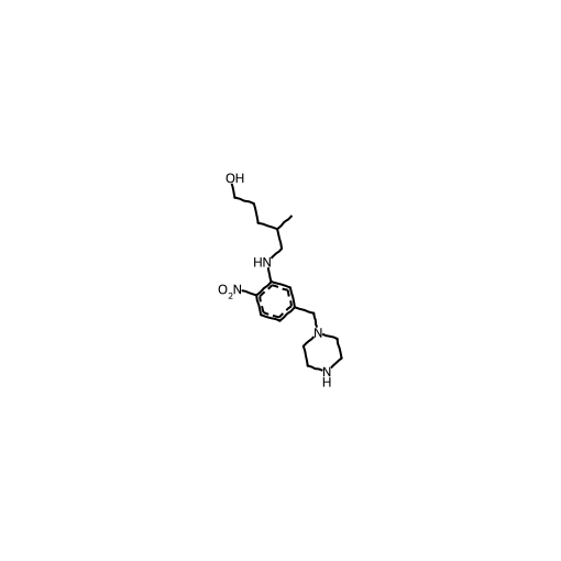 CC(CCCO)CNc1cc(CN2CCNCC2)ccc1[N+](=O)[O-]